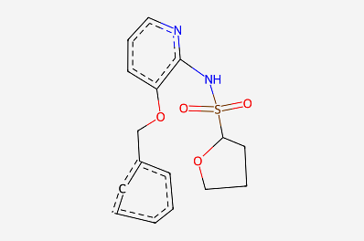 O=S(=O)(Nc1ncccc1OCc1ccccc1)C1CCCO1